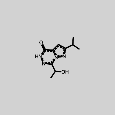 CC(C)c1cc2c(=O)[nH]nc(C(C)O)n2n1